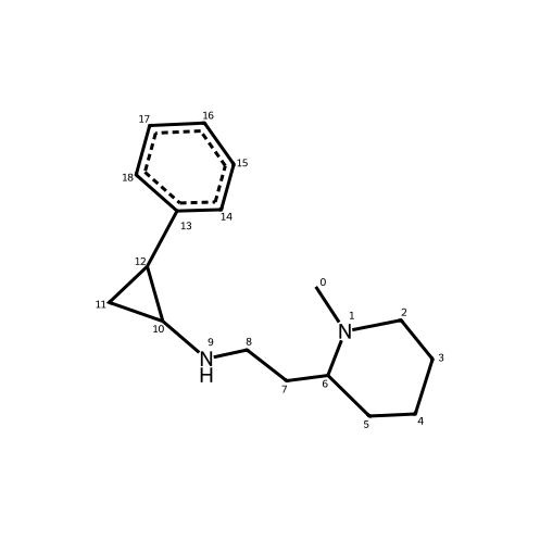 CN1CCCCC1CCNC1CC1c1ccccc1